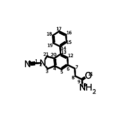 N#CN1Cc2cc(CCC(N)=O)cc(-c3ccccc3)c2C1